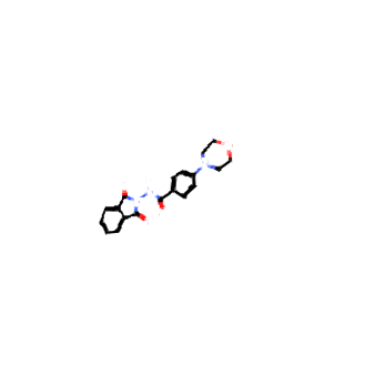 O=C(NN1C(=O)c2ccccc2C1=O)c1ccc(N2CCOCC2)cc1